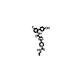 C=CCNC(=S)N1CCC(c2nc(C(=O)Nc3ccc(F)cc3-c3ccc(O)cc3)cs2)CC1